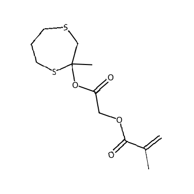 C=C(C)C(=O)OCC(=O)OC1(C)CSCCCS1